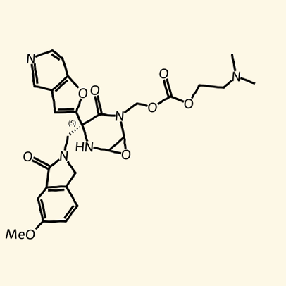 COc1ccc2c(c1)C(=O)N(C[C@@]1(c3cc4cnccc4o3)NC3OC3N(COC(=O)OCCN(C)C)C1=O)C2